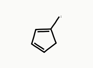 [CH]C1=CC=CC1